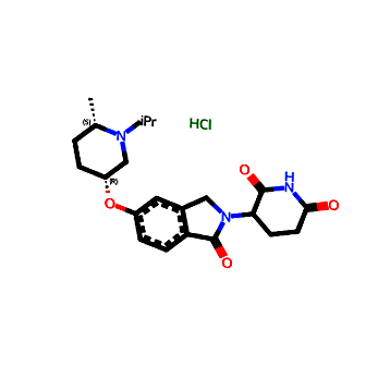 CC(C)N1C[C@H](Oc2ccc3c(c2)CN(C2CCC(=O)NC2=O)C3=O)CC[C@@H]1C.Cl